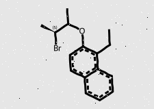 CCc1c(OC(C)[C@H](C)Br)ccc2ccccc12